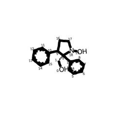 OC[C@]1(c2ccccc2)C(c2ccccc2)CCN1O